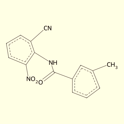 Cc1cccc(C(=O)Nc2c(C#N)cccc2[N+](=O)[O-])c1